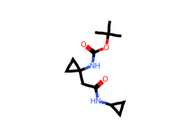 CC(C)(C)OC(=O)NC1([CH]C(=O)NC2CC2)CC1